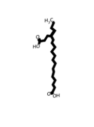 CCCC=C(CCCCCCCCCCCCCC(=O)O)CCC(=O)O